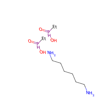 CC[PH](=O)O.CC[PH](=O)O.NCCCCCCN